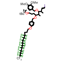 COc1ccc(COC(C(C)C=CI)C(C)C(CCCO[Si](C)(C)C(C)(C)C)OCc2ccc(OCCCC(F)(F)C(F)(F)C(F)(F)C(F)(F)C(F)(F)C(F)(F)C(F)(F)C(F)(F)C(F)(F)C(F)(F)F)cc2)cc1OC